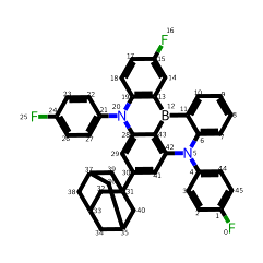 Fc1ccc(N2c3ccccc3B3c4cc(F)ccc4N(c4ccc(F)cc4)c4cc(C56CC7CC(CC(C7)C5)C6)cc2c43)cc1